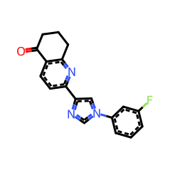 O=C1CCCc2nc(-c3cn(-c4cccc(F)c4)cn3)ccc21